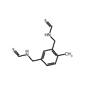 Cc1ccc(CNC=S)cc1CNC=S